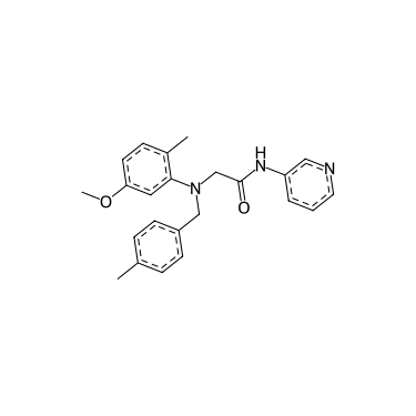 COc1ccc(C)c(N(CC(=O)Nc2cccnc2)Cc2ccc(C)cc2)c1